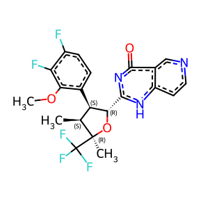 COc1c([C@H]2[C@H](c3nc(=O)c4cnccc4[nH]3)O[C@@](C)(C(F)(F)F)[C@H]2C)ccc(F)c1F